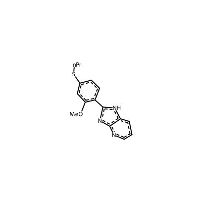 CCCSc1ccc(-c2nc3ncccc3[nH]2)c(OC)c1